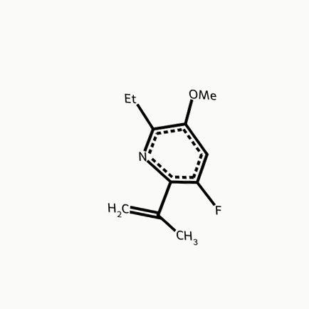 C=C(C)c1nc(CC)c(OC)cc1F